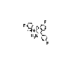 Cc1c(F)cccc1NC(=O)[C@@H](N)C(c1ccc(F)cc1)c1ccc(F)cc1